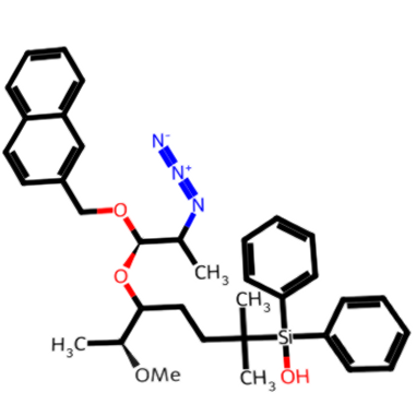 CO[C@@H](C)C(CCC(C)(C)[Si](O)(c1ccccc1)c1ccccc1)O[C@@H](OCc1ccc2ccccc2c1)C(C)N=[N+]=[N-]